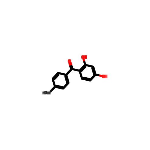 CCCCCCCCCCc1ccc(C(=O)c2ccc(O)cc2O)cc1